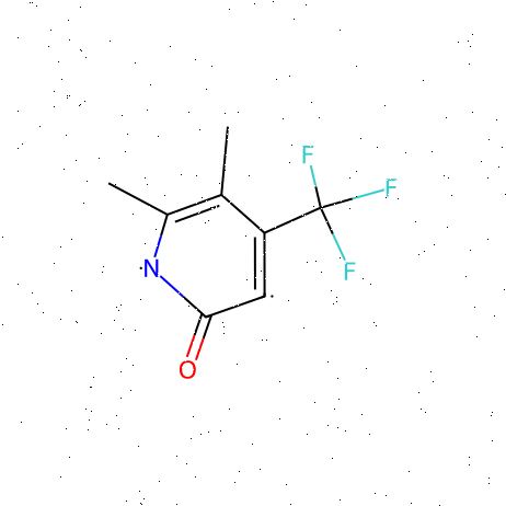 CC1=C(C)C(C(F)(F)F)=[C]C(=O)[N]1